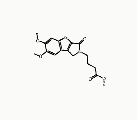 COC(=O)CCCN1Cc2c(sc3cc(OC)c(OC)cc23)C1=O